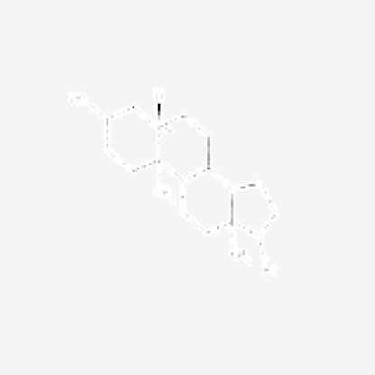 CC(=O)C1CCC2C3CC[C@H]4CC(O)CCC4(C)C3CCC12C